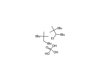 CC(C)(C)CC(C)(C)C(C)(C)C.CCC(C(C)(C)C)C(C)(C)C(C)(C)C.O=P(O)(O)O